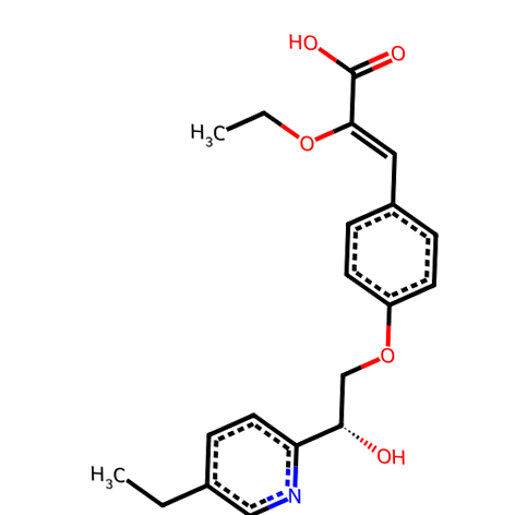 CCO/C(=C\c1ccc(OC[C@H](O)c2ccc(CC)cn2)cc1)C(=O)O